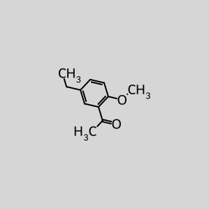 CCc1ccc(OC)c(C(C)=O)c1